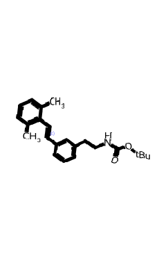 Cc1cccc(C)c1/C=C/c1cccc(CCNC(=O)OC(C)(C)C)c1